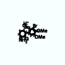 COc1cc(C2CCCC(N)C2=O)c(Br)c(Br)c1OC.[Cl-].[H+]